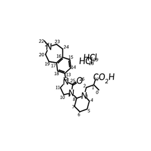 CC(CN1CCCCC1N1CCN(c2ccc3c(c2)CCN(C)CC3)C1=O)C(=O)O.Cl.Cl